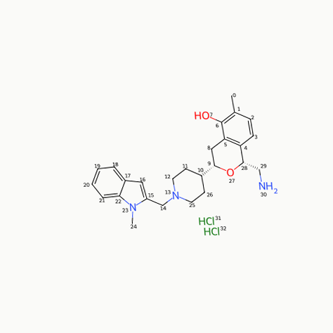 Cc1ccc2c(c1O)C[C@@H](C1CCN(Cc3cc4ccccc4n3C)CC1)O[C@H]2CN.Cl.Cl